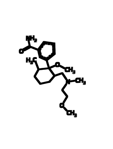 COCCN(C)CC1CCCC(C)C1(OC)c1cccc(C(N)=O)c1